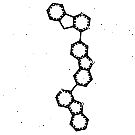 c1ccc2c(c1)Cc1c(-c3ccc4c(c3)oc3ccc(-c5nccc6c5oc5ccccc56)cc34)ncnc1-2